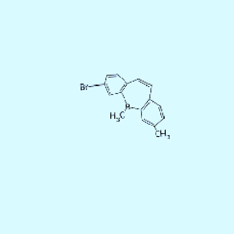 CB1c2cc(C)ccc2C=Cc2ccc(Br)cc21